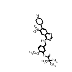 COc1ccc(CNc2ncnc3cc(N4CCNCC4)c([N+](=O)[O-])cc23)cc1OC(=O)C(C)(C)C